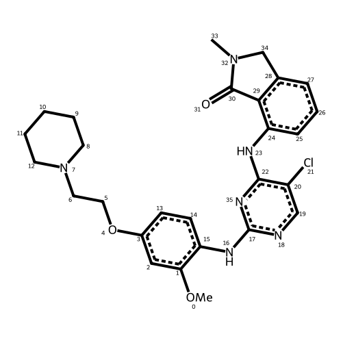 COc1cc(OCCN2CCCCC2)ccc1Nc1ncc(Cl)c(Nc2cccc3c2C(=O)N(C)C3)n1